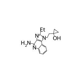 CCc1nc2c(N)nc3ccccc3c2n1CCC1(O)CC1